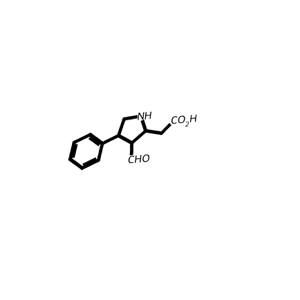 O=CC1C(CC(=O)O)NCC1c1ccccc1